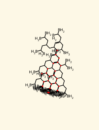 BC(B)CC(=CC(CC(CC(B)B)CC(B)B)CC(CC(C=C(CC(B)B)CC(B)B)CC(CC(B)B)CC(B)B)CC(CC(C=C(CC(CC(B)B)CC(B)B)CC(CC(B)B)CC(B)B)CC(CC(CC(B)B)CC(B)B)CC(CC(B)B)CC(B)B)CC(CC(CC(CC(B)B)CC(B)B)CC(CC(B)B)CC(B)C)CC(CC(CC(B)B)CC(B)B)CC(CC(B)B)CC(B)C)CC(B)B